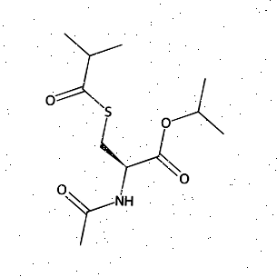 CC(=O)N[C@@H](CSC(=O)C(C)C)C(=O)OC(C)C